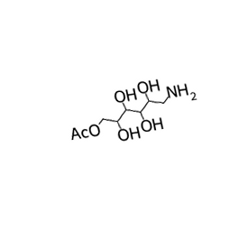 CC(=O)OCC(O)C(O)C(O)C(O)CN